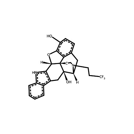 Oc1ccc2c3c1O[C@H]1c4[nH]c5ccccc5c4C[C@@]4(O)[C@@H](C2)N(CCC(F)(F)F)CC[C@]314